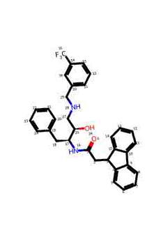 O=C(CC1c2ccccc2-c2ccccc21)N[C@@H](Cc1ccccc1)[C@H](O)CNCc1cccc(C(F)(F)F)c1